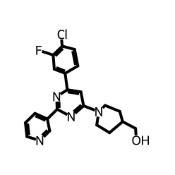 OCC1CCN(c2cc(-c3ccc(Cl)c(F)c3)nc(-c3cccnc3)n2)CC1